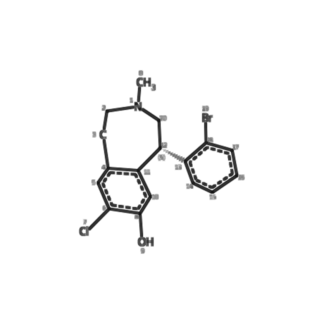 CN1CCc2cc(Cl)c(O)cc2[C@@H](c2ccccc2Br)C1